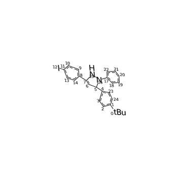 CC(C)(C)c1ccc(C2C=C(c3ccc(I)cc3)NN2c2ccccc2)cc1